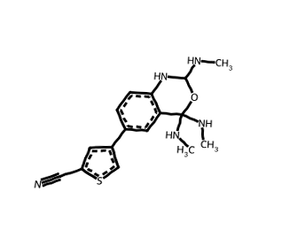 CNC1Nc2ccc(-c3csc(C#N)c3)cc2C(NC)(NC)O1